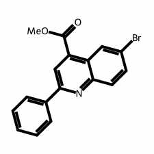 COC(=O)c1cc(-c2ccccc2)nc2ccc(Br)cc12